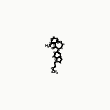 COCCN1CCc2cc(N3CCOc4ncnc(N)c4C3=O)ccc21